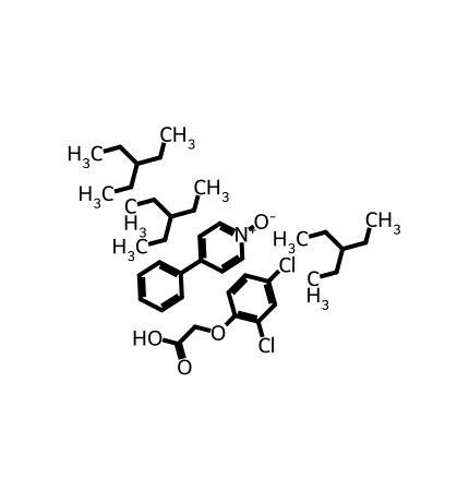 CCC(CC)CC.CCC(CC)CC.CCC(CC)CC.O=C(O)COc1ccc(Cl)cc1Cl.[O-][n+]1ccc(-c2ccccc2)cc1